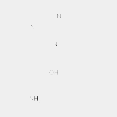 N=C(/N=C(\N)c1cccc(N)c1O)c1ccccc1